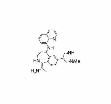 CN/C=C(\C=N)c1ccc2c(c1)C(Nc1cccc3cccnc13)CCN/C2=C(/C)N